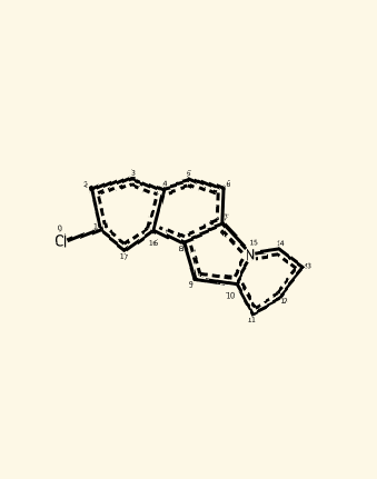 Clc1ccc2ccc3c(cc4ccccn43)c2c1